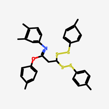 Cc1ccc(O/C(CC(SSc2ccc(C)cc2)SSc2ccc(C)cc2)=N\c2ccc(C)c(C)c2)cc1